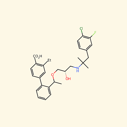 CCc1cc(-c2ccccc2C(C)OC[C@@H](O)CNC(C)(C)Cc2ccc(Cl)c(F)c2)ccc1C(=O)O